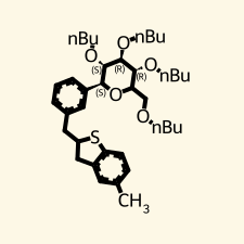 CCCCOCC1O[C@@H](c2cccc(CC3Cc4cc(C)ccc4S3)c2)[C@H](OCCCC)[C@@H](OCCCC)[C@@H]1OCCCC